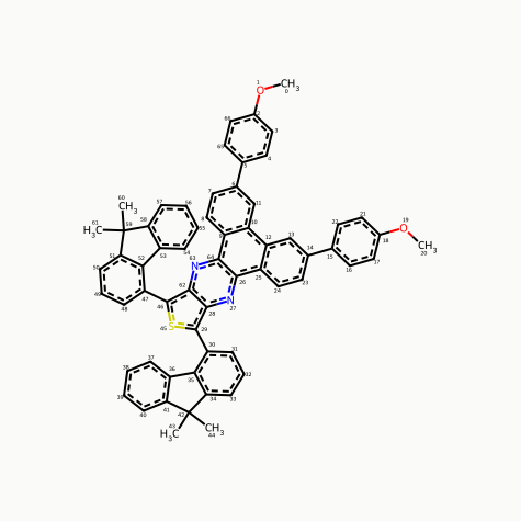 COc1ccc(-c2ccc3c(c2)c2cc(-c4ccc(OC)cc4)ccc2c2nc4c(-c5cccc6c5-c5ccccc5C6(C)C)sc(-c5cccc6c5-c5ccccc5C6(C)C)c4nc32)cc1